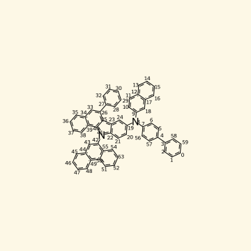 c1ccc(-c2ccc(N(c3ccc4ccccc4c3)c3ccc4c(c3)c3c(-c5ccccc5)cc5ccccc5c3n4-c3cc4ccccc4c4ccccc34)cc2)cc1